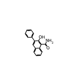 NC(=O)c1c(O)c(-c2ccccc2)cc2ccccc12